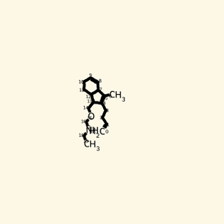 C=CCCC1=C(C)C2C=CCCC2C1COCNCC